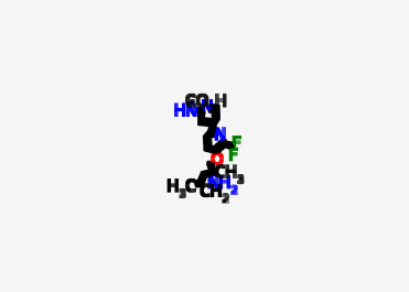 C=C(C)C[C@](C)(N)COc1ccc(-c2ccnc(NC(=O)O)c2)nc1C(F)F